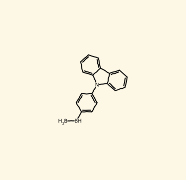 BBc1ccc(-n2c3ccccc3c3ccccc32)cc1